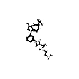 Cc1cn(-c2cccc(N3CC(C(=O)NCCN(C)C)C3)c2)c2ccc(C(F)(F)F)cc12